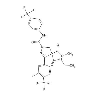 CCOC(=O)C1(C(=O)OC)CN(C(=O)Nc2ccc(C(F)(F)F)cc2)N=C1c1ccc(C(F)(F)F)c(Cl)c1